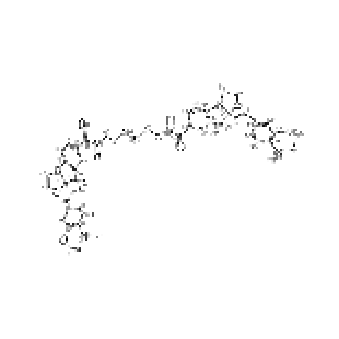 CN1CCOc2cc(C=CC34OCCN3c3ccc(C(=O)NCCSSCCNC(=O)c5ccc6c(c5)C(C)(C)C5(C=Cc7ccc8c(c7)OCCN8C)OCCN65)cc3C4(C)C)ccc21